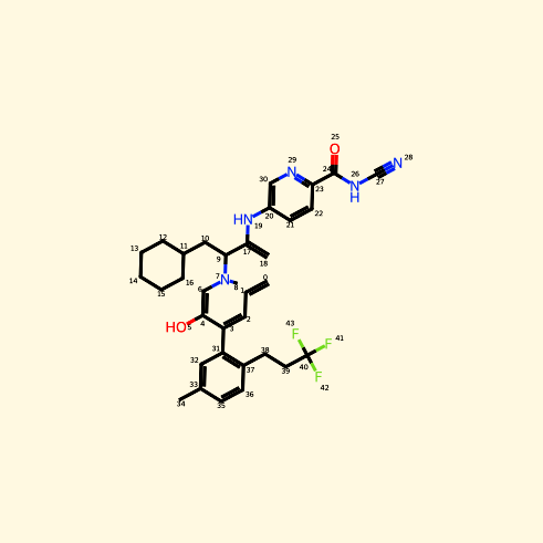 C=C/C=C(\C(O)=C/N(C)C(CC1CCCCC1)C(=C)Nc1ccc(C(=O)NC#N)nc1)c1cc(C)ccc1CCC(F)(F)F